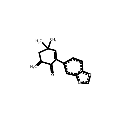 C=C1CC(C)(C)C=C(c2ccc3scnc3c2)C1=O